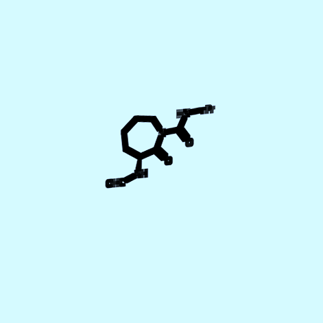 CCCNC(=O)N1CCCC[C@H](NC=O)C1=O